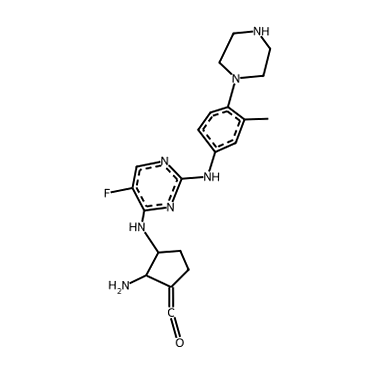 Cc1cc(Nc2ncc(F)c(NC3CCC(=C=O)C3N)n2)ccc1N1CCNCC1